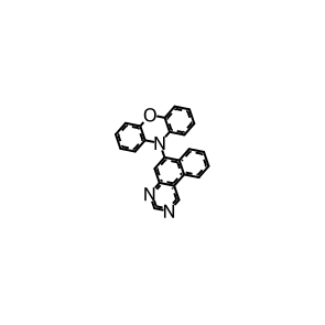 c1ccc2c(c1)Oc1ccccc1N2c1cc2ncncc2c2ccccc12